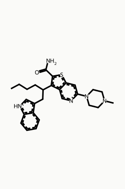 CCCCC(Cc1c[nH]c2ccccc12)c1c(C(N)=O)sc2cc(N3CCN(C)CC3)ncc12